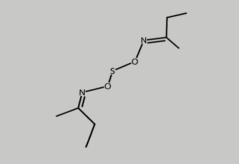 CC/C(C)=N\OSO/N=C(\C)CC